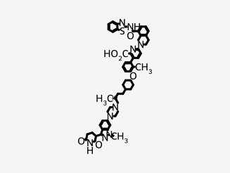 Cc1c(OC2CCC(CC[C@H](C)CN3CCN(c4ccc5c(C6CCC(=O)NC6=O)nn(C)c5c4)CC3)CC2)cccc1-c1ccc(N2CCc3cccc(C(=O)Nc4nc5ccccc5s4)c3C2)nc1C(=O)O